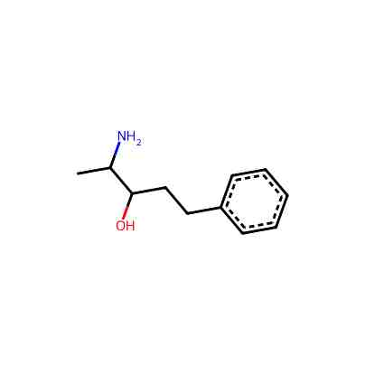 CC(N)C(O)CCc1ccccc1